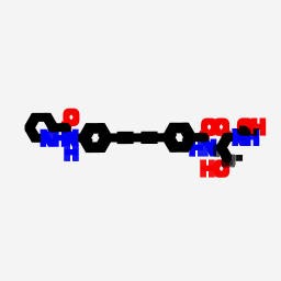 C[C@H](O)[C@H](NC(=O)c1ccc(C#CC#Cc2ccc(NC(=O)C3CCCCN3)cc2)cc1)C(=O)NO